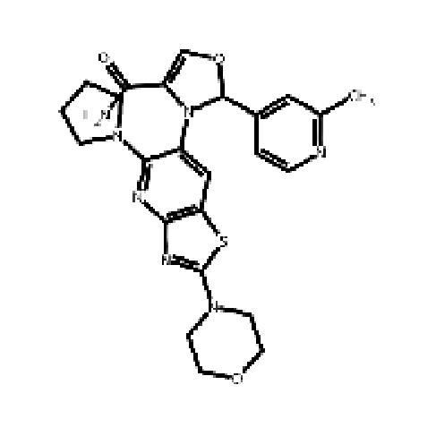 Cc1cc(C2OC=C(C(N)=O)N2c2cc3sc(N4CCOCC4)nc3nc2N2CCCC2)ccn1